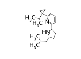 CC(C)CC1CCC(c2cccc(C3(C(C)C)CC3)n2)N1